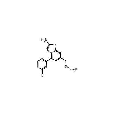 Nc1nc2c(-c3cccc(Cl)c3)cc(COC(=O)O)cc2o1